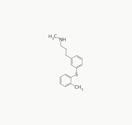 CNCCCc1cccc(Sc2ccccc2C)c1